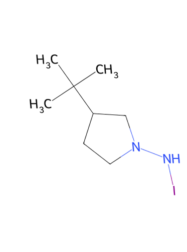 CC(C)(C)C1CCN(NI)C1